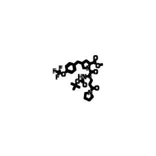 COC(=O)C1CC(Cc2ccc(OC(F)(F)F)cc2)CN1C(=O)[C@@H](CCC(=O)N1CCCC1)NC(=O)OC(C)(C)C